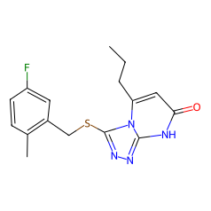 CCCc1cc(=O)[nH]c2nnc(SCc3cc(F)ccc3C)n12